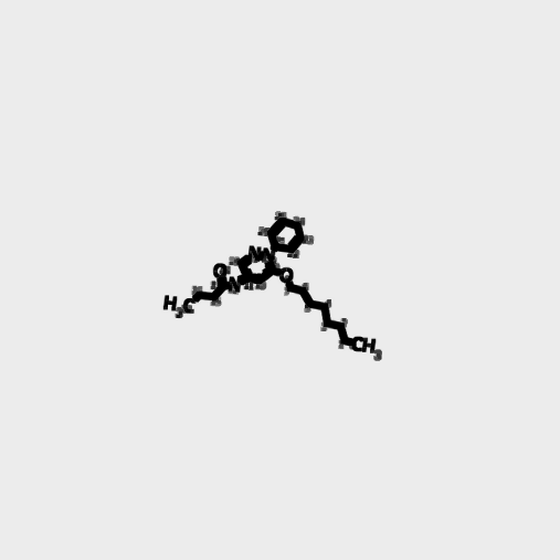 CCCCCCCCOc1cc(=NC(=O)CCC)cnn1C1C=CCC=C1